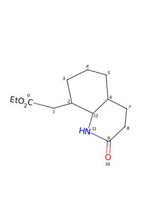 CCOC(=O)CC1CCCC2CCC(=O)NC21